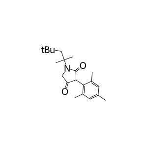 Cc1cc(C)c(C2C(=O)CN(C(C)(C)CC(C)(C)C)C2=O)c(C)c1